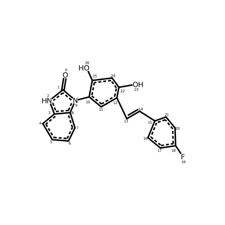 O=c1[nH]c2ccccc2n1-c1cc(/C=C/c2ccc(F)cc2)c(O)cc1O